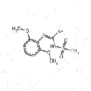 COc1cccc(OC)c1/N=C(/S)NS(C)(=O)=O